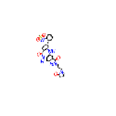 CN(c1ccccc1-c1ccc2c(c1)Nc1cc(C(=O)NCCCN3CCCC3=O)ccc1NC2=O)S(C)(=O)=O